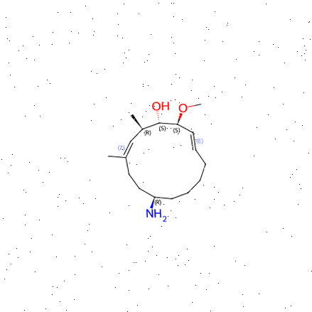 CO[C@H]1/C=C/CCCC[C@@H](N)CC/C(C)=C\[C@@H](C)[C@@H]1O